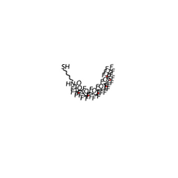 O=C(NCCCCCCS)C(F)(OC(F)(F)C(F)(OC(F)(F)C(F)(OC(F)(F)C(F)(OC(F)(F)C(F)(OC(F)(F)C(F)(F)C(F)(F)F)C(F)(F)F)C(F)(F)F)C(F)(F)F)C(F)(F)F)C(F)(F)F